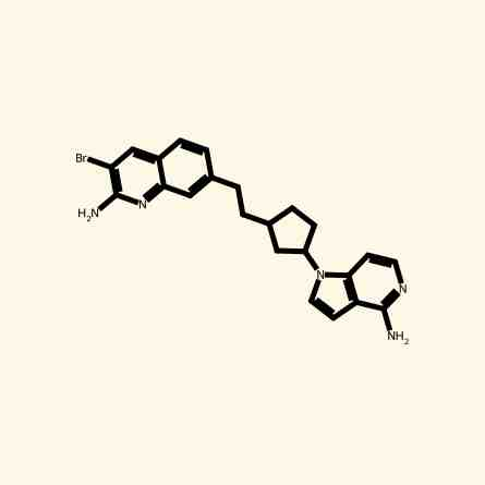 Nc1nc2cc(CCC3CCC(n4ccc5c(N)nccc54)C3)ccc2cc1Br